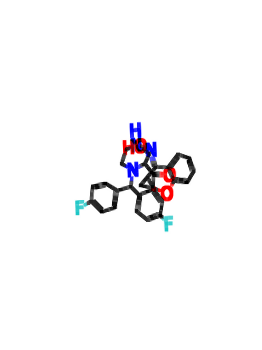 O=C(C1CNCCN1C(c1ccc(F)cc1)c1ccc(F)cc1)C12CC1C(=NO)c1ccccc1O2